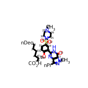 CCCCCCCCCCCCCCCCC(=O)O.CCCc1nn(C)c2c(=O)[nH]c(-c3cc(S(=O)(=O)N4CCN(C)CC4)ccc3OCC)nc12